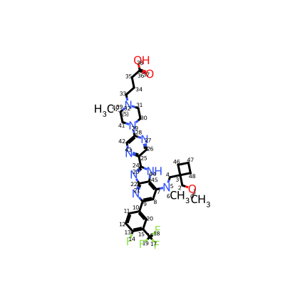 COCC1(CN(C)c2cc(-c3ccc(F)c(C(F)(F)F)c3)nc3nc(-c4cnc(N5CCN(CCCC(=O)O)[C@@H](C)C5)cn4)[nH]c23)CCC1